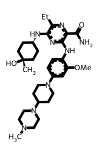 CCc1nc(C(N)=O)c(Nc2ccc(N3CCC(N4CCN(C)CC4)CC3)cc2OC)nc1N[C@H]1CC[C@@](C)(O)CC1